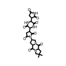 CC1(C)CC2C(=O)N3CC(N4C(=O)CC(C5NC(=O)C(C6CC(=O)NC6=O)NC5=O)C4=O)CC3C(=O)N2C1